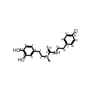 CN(CCc1ccc(O)c(O)c1)C(=S)NCCc1ccc(Cl)cc1